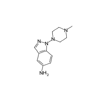 CN1CCN(n2ncc3cc(N)ccc32)CC1